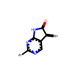 B=C1C(=O)Nc2nc(C(C)C)ncc21